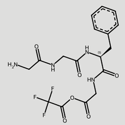 NCC(=O)NCC(=O)N[C@@H](Cc1ccccc1)C(=O)NCC(=O)OC(=O)C(F)(F)F